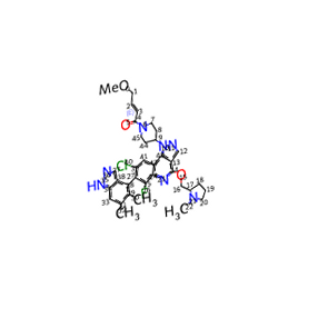 COC/C=C/C(=O)N1CCC(n2ncc3c(OCC4CCCN4C)nc4c(F)c(-c5c(C)c(C)cc6[nH]ncc56)c(Cl)cc4c32)CC1